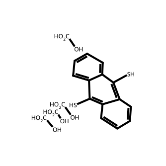 O=C(O)O.O=C(O)O.O=C(O)O.O=C(O)O.Sc1c2ccccc2c(S)c2ccccc12